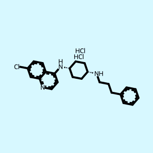 Cl.Cl.Clc1ccc2c(N[C@H]3CC[C@@H](NCCCc4ccccc4)CC3)ccnc2c1